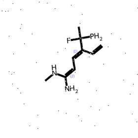 C=C/C(=C\C=C(\N)NC)C(C)(F)P